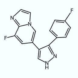 Fc1ccc(-c2n[nH]cc2-c2cc(F)c3nccn3c2)cc1